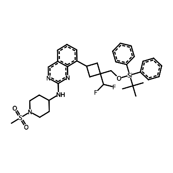 CC(C)(C)[Si](OCC1(C(F)F)CC(c2cccc3cnc(NC4CCN(S(C)(=O)=O)CC4)nc23)C1)(c1ccccc1)c1ccccc1